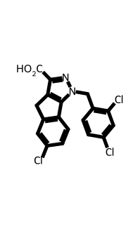 O=C(O)c1nn(Cc2ccc(Cl)cc2Cl)c2c1Cc1cc(Cl)ccc1-2